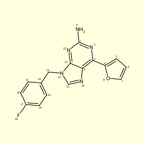 Nc1nc(-c2ccco2)c2ncn(Cc3ccc(F)cc3)c2n1